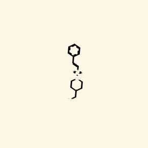 NCC1CCN(S(=O)(=O)/C=C/c2ccccc2)CC1